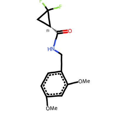 COc1ccc(CNC(=O)[C@@H]2CC2(F)F)c(OC)c1